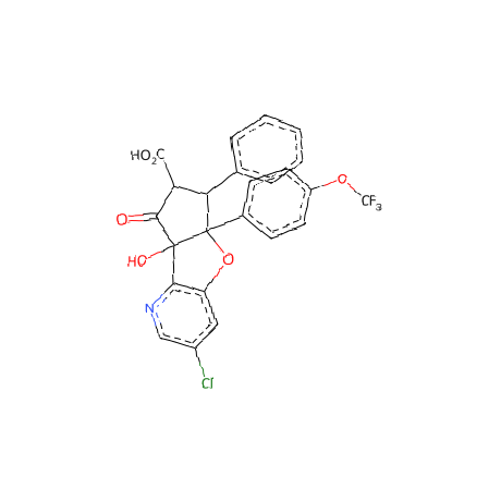 O=C(O)C1C(=O)C2(O)c3ncc(Cl)cc3OC2(c2ccc(OC(F)(F)F)cc2)C1c1ccccc1